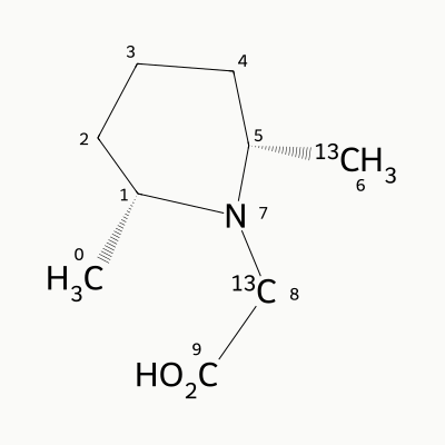 C[C@@H]1CCC[C@H]([13CH3])N1[13CH2][13C](=O)O